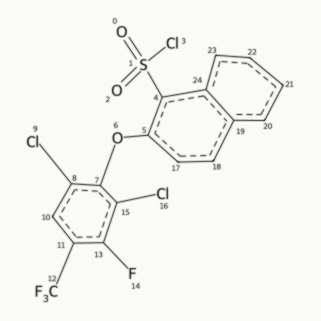 O=S(=O)(Cl)c1c(Oc2c(Cl)cc(C(F)(F)F)c(F)c2Cl)ccc2ccccc12